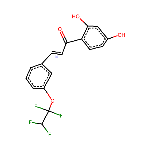 O=C(/C=C/c1cccc(OC(F)(F)C(F)F)c1)c1ccc(O)cc1O